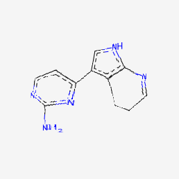 Nc1nccc(-c2c[nH]c3c2CCC=N3)n1